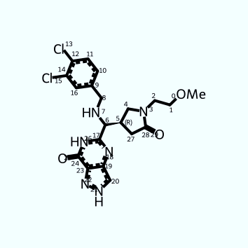 COCCN1C[C@H](C(NCc2ccc(Cl)c(Cl)c2)c2nc3c[nH]nc3c(=O)[nH]2)CC1=O